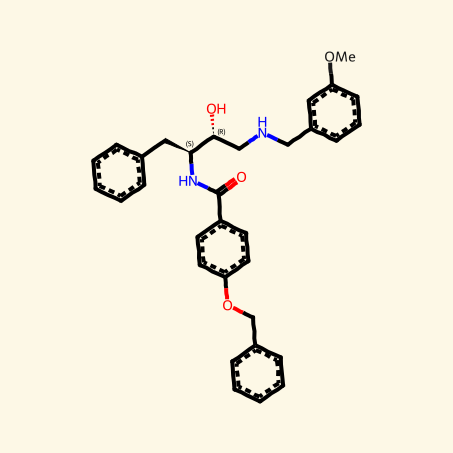 COc1cccc(CNC[C@@H](O)[C@H](Cc2ccccc2)NC(=O)c2ccc(OCc3ccccc3)cc2)c1